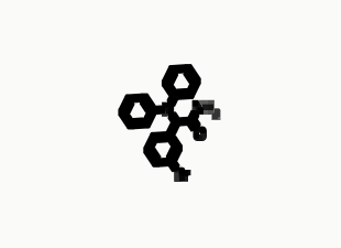 NC(=O)C(c1cccc(Br)c1)N(c1ccccc1)c1ccccc1